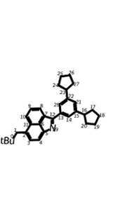 CC(C)(C)Cc1ccc2c3c(cccc13)C(c1cc(C3CCCC3)cc(C3CCCC3)c1)=N2